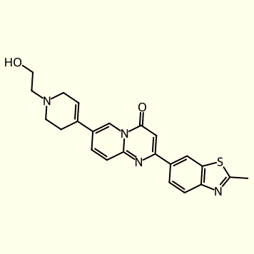 Cc1nc2ccc(-c3cc(=O)n4cc(C5=CCN(CCO)CC5)ccc4n3)cc2s1